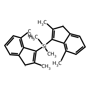 CC1=C([Si](C)(C)C2=C(C)[CH]c3cccc(C)c32)c2c(C)cccc2[CH]1